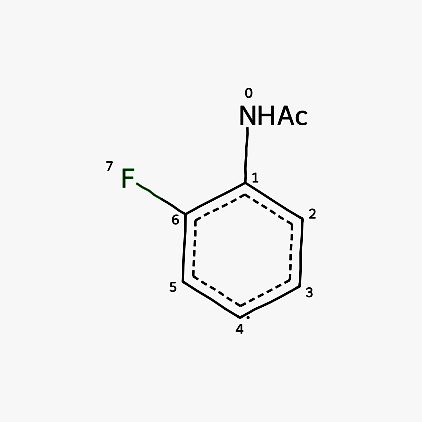 CC(=O)Nc1cc[c]cc1F